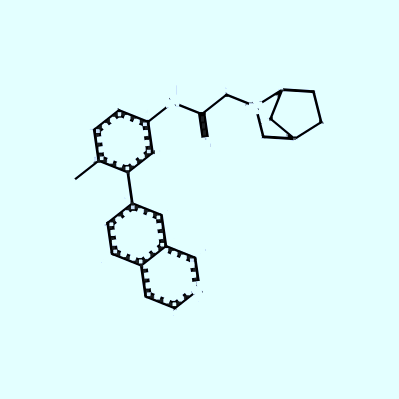 Cc1ccc(NC(=O)CN2CC3CCC2C3)cc1-c1ccc2ccncc2c1